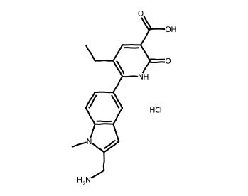 CCc1cc(C(=O)O)c(=O)[nH]c1-c1ccc2c(c1)cc(CN)n2C.Cl